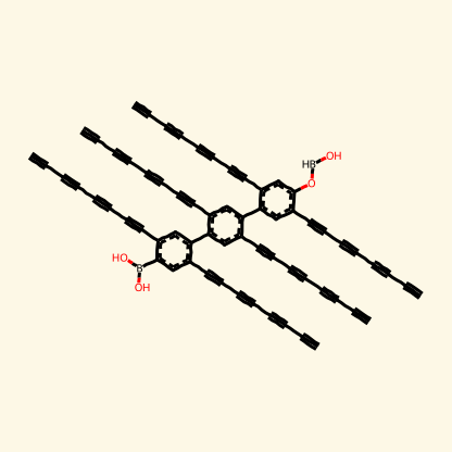 C#CC#CC#CC#Cc1cc(-c2cc(C#CC#CC#CC#C)c(-c3cc(C#CC#CC#CC#C)c(B(O)O)cc3C#CC#CC#CC#C)cc2C#CC#CC#CC#C)c(C#CC#CC#CC#C)cc1OBO